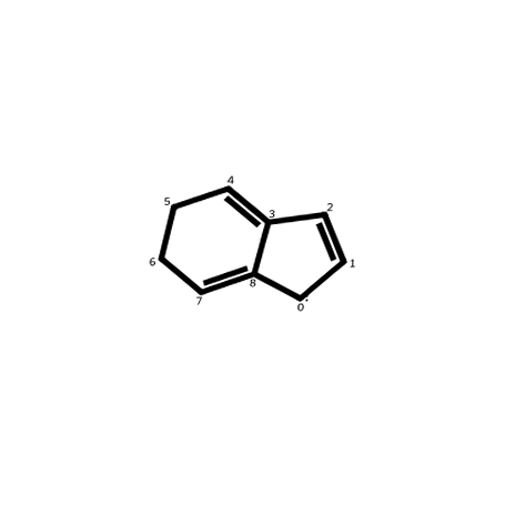 [C]1C=CC2=CCCC=C12